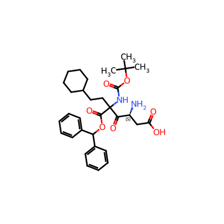 CC(C)(C)OC(=O)NC(CCC1CCCCC1)(C(=O)OC(c1ccccc1)c1ccccc1)C(=O)[C@@H](N)CC(=O)O